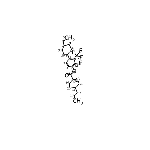 C=CC1CCC(c2ccc(OC(=O)C3CCC(CCC)CO3)c(F)c2C(F)(F)F)CC1